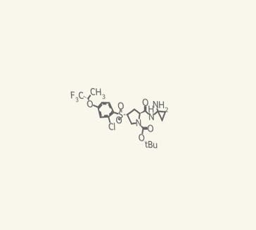 C[C@H](Oc1ccc(S(=O)(=O)[C@@H]2C[C@@H](C(=O)NC3(N)CC3)N(C(=O)OC(C)(C)C)C2)c(Cl)c1)C(F)(F)F